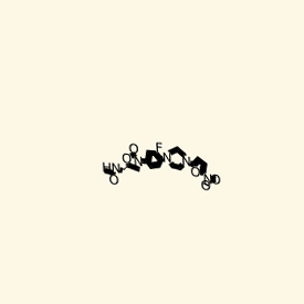 CC(=O)NC[C@H]1CN(c2ccc(N3CCCN(c4ccc([N+](=O)[O-])o4)CC3)c(F)c2)C(=O)O1